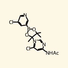 CC(=O)Nc1cc(Cl)[n+](C2(C)OB(c3cncc(Cl)c3)OC2(C)C)cn1